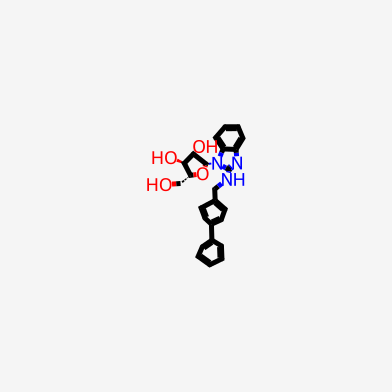 OC[C@H]1O[C@@H](n2c(NCc3ccc(-c4ccccc4)cc3)nc3ccccc32)[C@H](O)[C@@H]1O